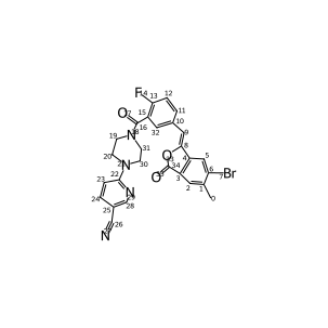 Cc1cc2c(cc1Br)C(=Cc1ccc(F)c(C(=O)N3CCN(c4ccc(C#N)cn4)CC3)c1)OC2=O